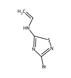 C=CNc1nc(Br)ns1